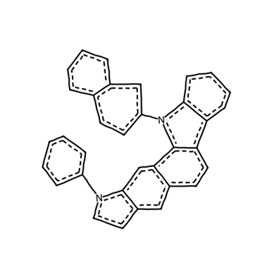 c1ccc(-n2ccc3cc4ccc5c6ccccc6n(-c6ccc7ccccc7c6)c5c4cc32)cc1